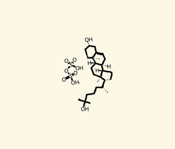 C[C@H](CCCC(C)(C)O)[C@H]1CC[C@H]2[C@@H]3CC=C4C[C@@H](O)CC[C@]4(C)[C@H]3CC[C@]12C.O=S(=O)(O)OS(=O)(=O)O